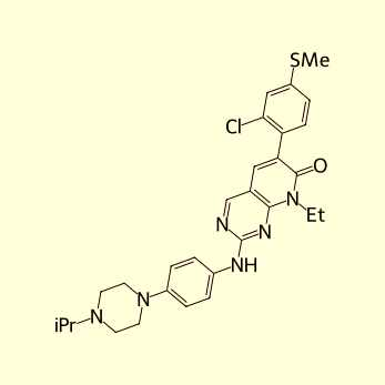 CCn1c(=O)c(-c2ccc(SC)cc2Cl)cc2cnc(Nc3ccc(N4CCN(C(C)C)CC4)cc3)nc21